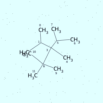 CC(C)C(C)(C(C)C)C(C)(C)C